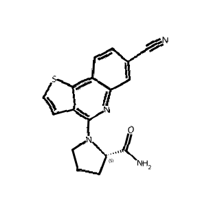 N#Cc1ccc2c(c1)nc(N1CCC[C@H]1C(N)=O)c1ccsc12